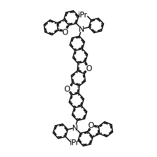 CC(C)c1ccccc1N(c1ccc2cc3c(cc2c1)oc1cc2c(cc13)oc1cc3cc(N(c4ccccc4C(C)C)c4cccc5c4oc4ccccc45)ccc3cc12)c1cccc2c1oc1ccccc12